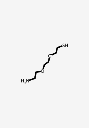 NCCOCCOCCS